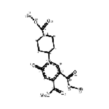 COC(=O)c1cc(=O)n(C2CCN(C(=O)OC(C)(C)C)CC2)cc1C(=O)OC(C)(C)C